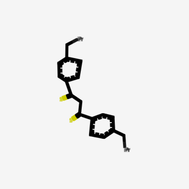 CC(C)Cc1ccc(C(=S)CC(=S)c2ccc(CC(C)C)cc2)cc1